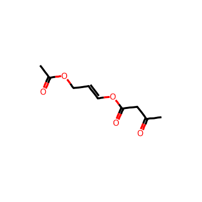 CC(=O)CC(=O)OC=CCOC(C)=O